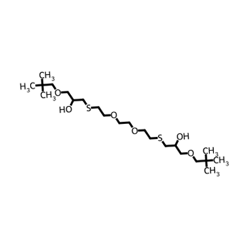 CC(C)(C)COCC(O)CSCCOCCOCCSCC(O)COCC(C)(C)C